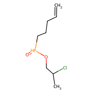 C=CCCC[PH](=O)OCC(C)Cl